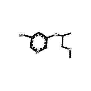 COCC(C)Oc1cncc(Br)c1